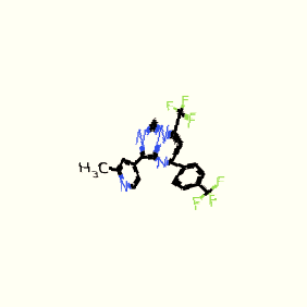 Cc1cc(-c2ncn3c(C(F)(F)F)cc(-c4ccc(C(F)(F)F)cc4)nc23)ccn1